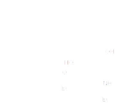 CCNCC(O)[C@@](O)(Cc1ccccc1OCC)c1ccccc1